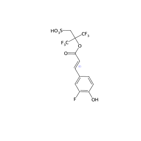 O=C(/C=C/c1ccc(O)c(F)c1)OC(CS(=O)(=O)O)(C(F)(F)F)C(F)(F)F